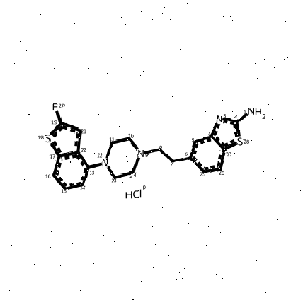 Cl.Nc1nc2cc(CCN3CCN(c4cccc5sc(F)cc45)CC3)ccc2s1